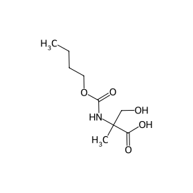 CCCCOC(=O)NC(C)(CO)C(=O)O